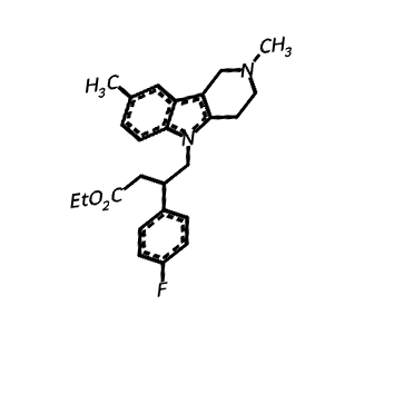 CCOC(=O)CC(Cn1c2c(c3cc(C)ccc31)CN(C)CC2)c1ccc(F)cc1